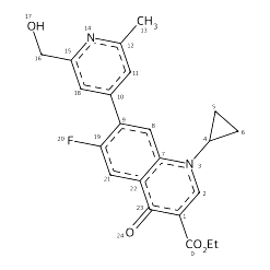 CCOC(=O)c1cn(C2CC2)c2cc(-c3cc(C)nc(CO)c3)c(F)cc2c1=O